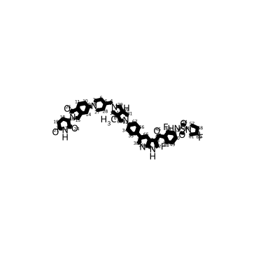 C[C@@]12CN(CC3CCN(c4ccc5c(c4)CN([C@H]4CCC(=O)NC4=O)C5=O)CC3)C[C@@H]1CN(c1ccc(-c3cnc4[nH]cc(C(=O)c5c(F)ccc(NS(=O)(=O)N6CC[C@@H](F)C6)c5F)c4c3)cc1)C2